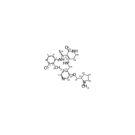 Cc1c(Cl)cccc1NC(=S)C1=C(NCc2ccncc2OCC2CCCN2C)CCNC1=O